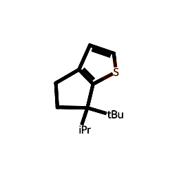 CC(C)C1(C(C)(C)C)CCc2ccsc21